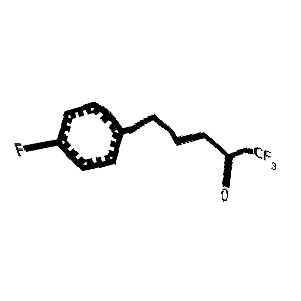 O=C(CCCc1ccc(F)cc1)C(F)(F)F